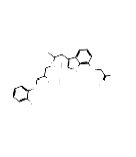 CC(Cc1c[nH]c2c(OCC(=O)O)cccc12)NCC(O)COc1ccccc1Cl